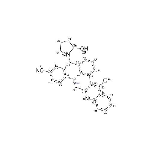 N#Cc1ccc(/C=C/c2nc3ccccc3c(=O)n2-c2cccc(CN3CCCC3O)c2)cc1